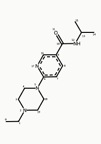 CCN1CCN(c2ccc(C(=O)NC(C)C)cn2)CC1